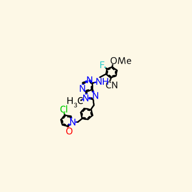 COc1ccc(C#N)c(CNc2ncnc3c2nc(Cc2ccc(Cn4cc(Cl)ccc4=O)cc2)n3C)c1F